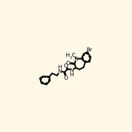 CN1C(=O)C(NC(=O)C(=O)NCCc2ccccc2)CCc2ccc(Br)cc21